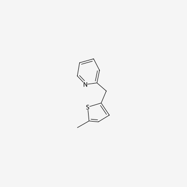 Cc1ccc(Cc2ccccn2)s1